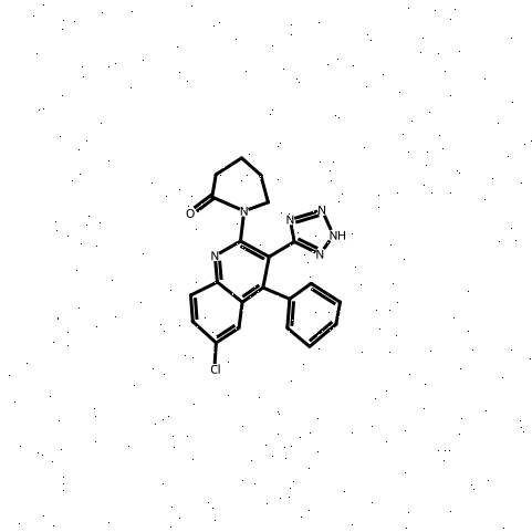 O=C1CCCCN1c1nc2ccc(Cl)cc2c(-c2ccccc2)c1-c1nn[nH]n1